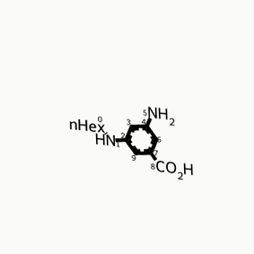 CCCCCCNc1cc(N)cc(C(=O)O)c1